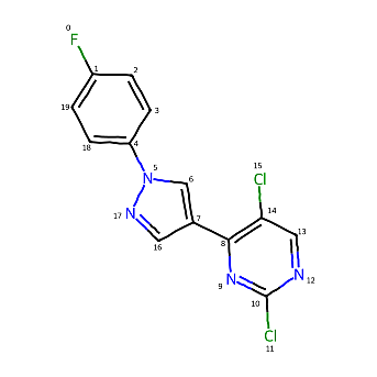 Fc1ccc(-n2cc(-c3nc(Cl)ncc3Cl)cn2)cc1